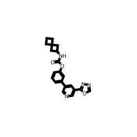 O=C(NC1CC2(CCC2)C1)Oc1cccc(-c2cncc(-c3nnco3)c2)c1